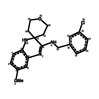 COc1ccc2c(c1)N=C(NCc1cccc(Cl)c1)C1(CCOCC1)N2